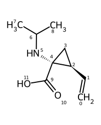 C=C[C@@H]1C[C@]1(NC(C)C)C(=O)O